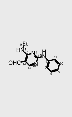 CCNc1nc(Nc2ccccc2)ncc1C=O